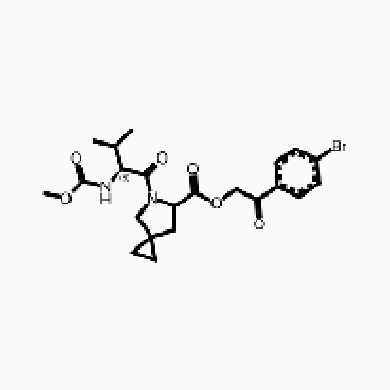 COC(=O)N[C@H](C(=O)N1CC2(CC2)CC1C(=O)OCC(=O)c1ccc(Br)cc1)C(C)C